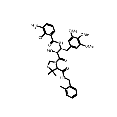 COc1cc(C[C@H](NC(=O)c2cccc(N)c2Cl)[C@H](O)C(=O)N2CSC(C)(C)C2C(=O)NCc2ccccc2C)cc(OC)c1OC